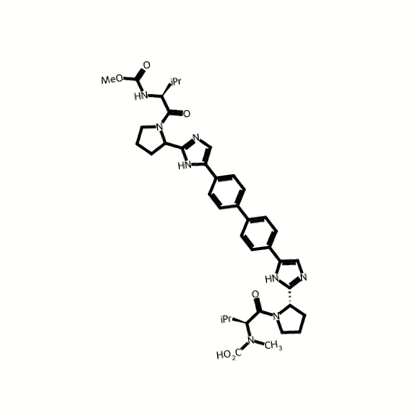 COC(=O)N[C@H](C(=O)N1CCCC1c1ncc(-c2ccc(-c3ccc(-c4cnc([C@@H]5CCCN5C(=O)[C@H](C(C)C)N(C)C(=O)O)[nH]4)cc3)cc2)[nH]1)C(C)C